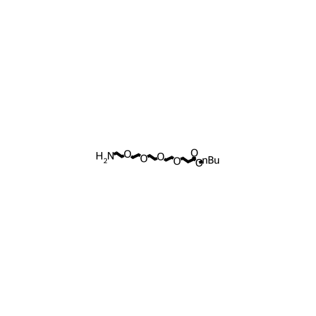 CCCCOC(=O)CCOCCOCCOCCOCCN